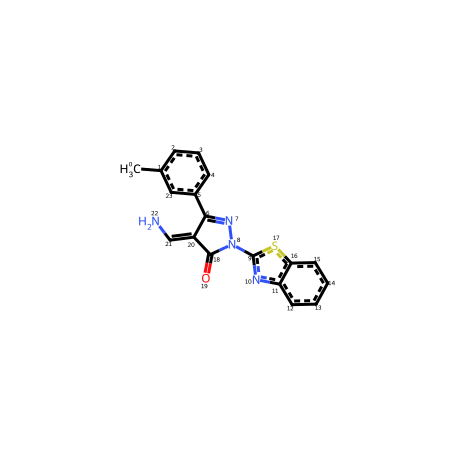 Cc1cccc(C2=NN(c3nc4ccccc4s3)C(=O)/C2=C/N)c1